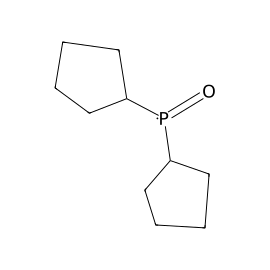 O=[P](C1CCCC1)C1CCCC1